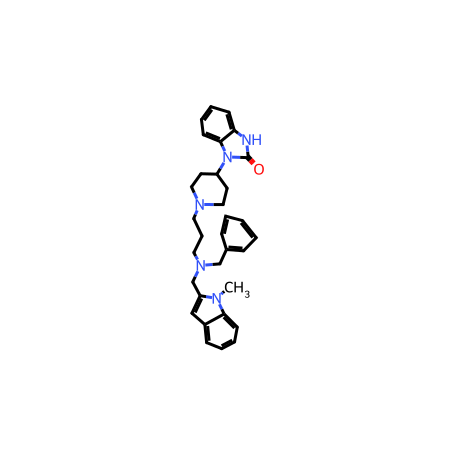 Cn1c(CN(CCCN2CCC(n3c(=O)[nH]c4ccccc43)CC2)Cc2ccccc2)cc2ccccc21